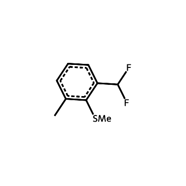 CSc1c(C)cccc1C(F)F